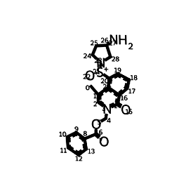 Cc1cn(COC(=O)c2ccccc2)c(=O)c2cccc([S+]([O-])N3CCC(N)C3)c12